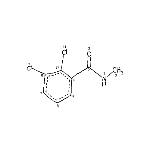 CNC(=O)c1cccc(Cl)c1Cl